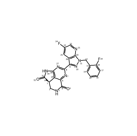 C[C@]12CNC(=O)c3nc(-c4nn(Cc5ccccc5F)c5ncc(F)cc45)nc(c31)NC2=O